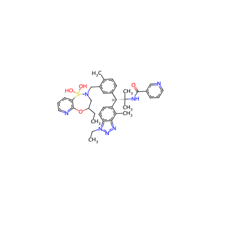 CCC1CN(Cc2cc([C@@H](c3ccc4c(nnn4CC)c3C)C(C)(C)NC(=O)c3cccnc3)ccc2C)S(O)(O)c2cccnc2O1